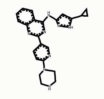 c1ccc2c(Nc3cc(C4CC4)[nH]n3)nc(-c3ccc(N4CCNCC4)nc3)nc2c1